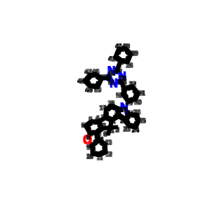 CC1(C)c2c(ccc3oc4ccccc4c23)-c2ccc3c(c21)c1ccccc1n3-c1cccc(-c2nc(-c3ccccc3)nc(-c3ccccc3)n2)c1